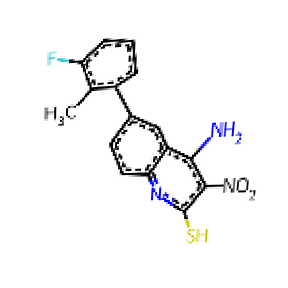 Cc1c(F)cccc1-c1ccc2nc(S)c([N+](=O)[O-])c(N)c2c1